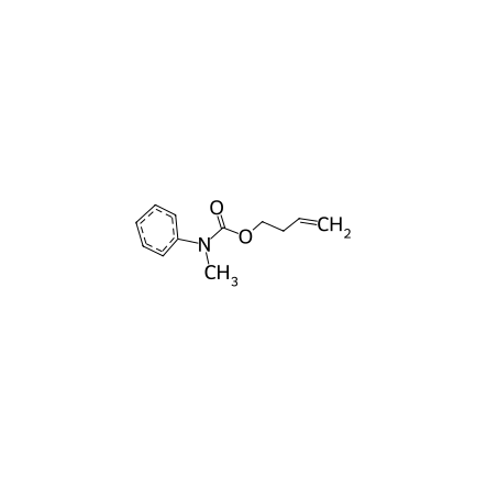 C=CCCOC(=O)N(C)c1ccccc1